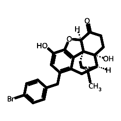 CN1CC[C@]23c4c5c(Cc6ccc(Br)cc6)cc(O)c4O[C@H]2C(=O)CC[C@@]3(O)[C@H]1C5